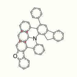 c1ccc(-c2cc3c(c(N(c4ccccc4)c4ccccc4-c4cccc5oc6ccccc6c45)c2-c2ccccc2)Cc2ccccc2-3)cc1